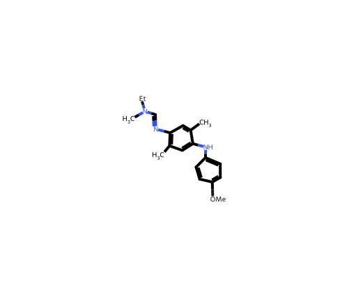 CCN(C)C=Nc1cc(C)c(Nc2ccc(OC)cc2)cc1C